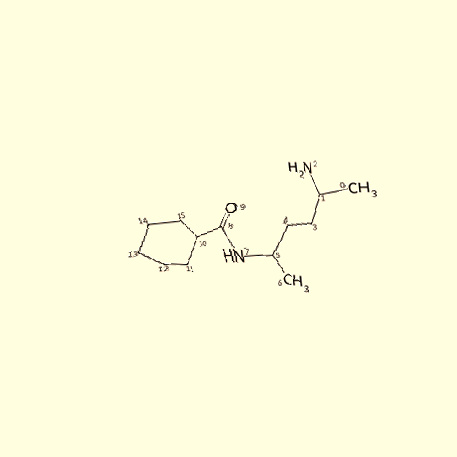 CC(N)CCC(C)NC(=O)C1CCCCC1